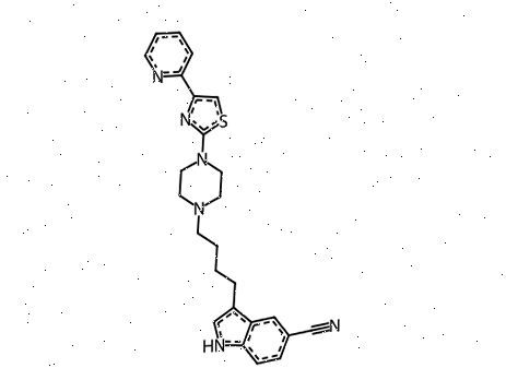 N#Cc1ccc2[nH]cc(CCCCN3CCN(c4nc(-c5ccccn5)cs4)CC3)c2c1